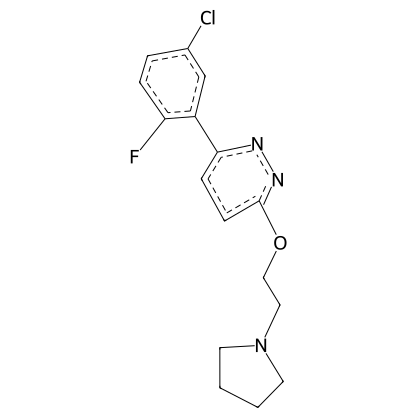 Fc1ccc(Cl)cc1-c1ccc(OCCN2CCCC2)nn1